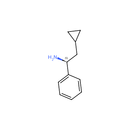 N[C@@H](CC1CC1)c1ccccc1